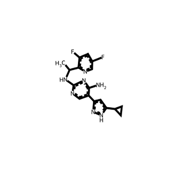 CC(Nc1ncc(-c2cc(C3CC3)[nH]n2)c(N)n1)c1ncc(F)cc1F